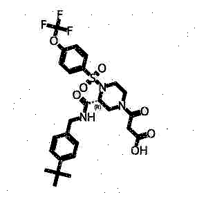 CC(C)(C)c1ccc(CNC(=O)[C@H]2CN(C(=O)CC(=O)O)CCN2S(=O)(=O)c2ccc(OC(F)(F)F)cc2)cc1